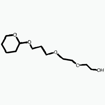 OCCOCCOCCCOC1CCCCO1